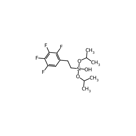 CC(C)O[Si](O)(CCc1cc(F)c(F)c(F)c1F)OC(C)C